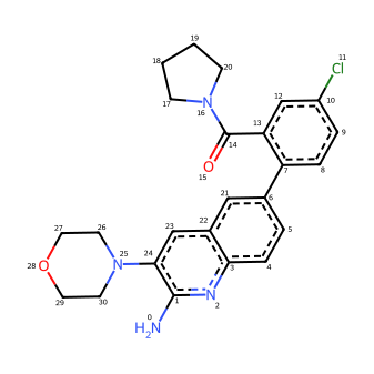 Nc1nc2ccc(-c3ccc(Cl)cc3C(=O)N3CCCC3)cc2cc1N1CCOCC1